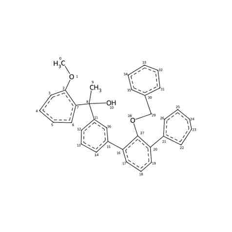 COc1ccccc1C(C)(O)c1cccc(-c2cccc(-c3ccccc3)c2OCc2ccccc2)c1